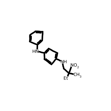 CCC(C)(CNc1ccc(Nc2ccccc2)cc1)[N+](=O)[O-]